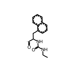 CCNC(=O)NC([C]=O)Cc1cccc2ccccc12